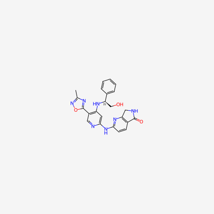 Cc1noc(-c2cnc(Nc3ccc4c(n3)CNC4=O)cc2N[C@H](CO)c2ccccc2)n1